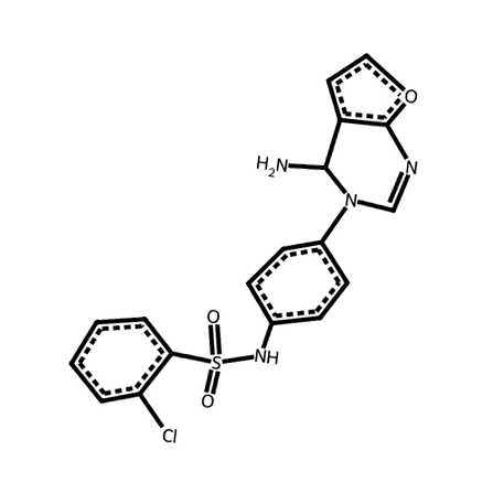 NC1c2ccoc2N=CN1c1ccc(NS(=O)(=O)c2ccccc2Cl)cc1